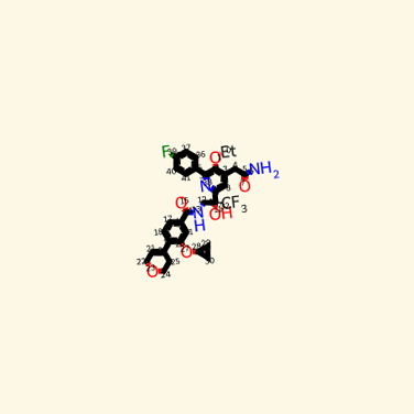 CCOc1c(CC(N)=O)cc([C@@](O)(CNC(=O)c2ccc(C3=CCOCC3)c(OC3CC3)c2)C(F)(F)F)nc1-c1ccc(F)cc1